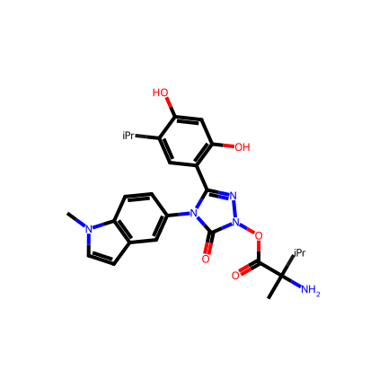 CC(C)c1cc(-c2nn(OC(=O)C(C)(N)C(C)C)c(=O)n2-c2ccc3c(ccn3C)c2)c(O)cc1O